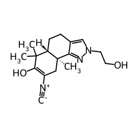 [C-]#[N+]C1=C(O)C(C)(C)[C@@H]2CCc3cn(CCO)nc3[C@@]2(C)C1